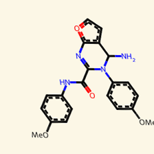 COc1ccc(NC(=O)C2=Nc3occc3C(N)N2c2ccc(OC)cc2)cc1